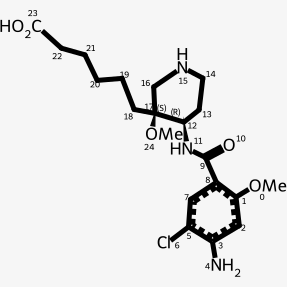 COc1cc(N)c(Cl)cc1C(=O)N[C@@H]1CCNC[C@]1(CCCCCC(=O)O)OC